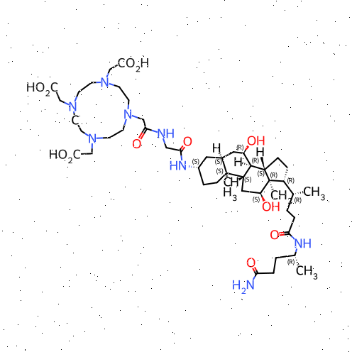 C[C@H](CCC(N)=O)NC(=O)CC[C@@H](C)[C@H]1CC[C@H]2[C@@H]3[C@H](O)C[C@@H]4C[C@@H](NC(=O)CNC(=O)CN5CCN(CC(=O)O)CCN(CC(=O)O)CCN(CC(=O)O)CC5)CC[C@]4(C)[C@H]3C[C@H](O)[C@]12C